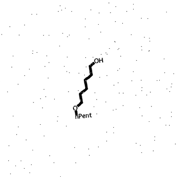 [CH2]CCCCOCCCCCCO